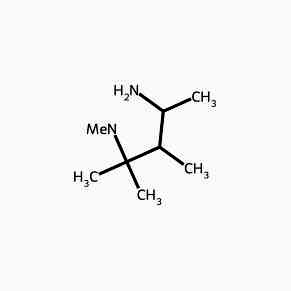 CNC(C)(C)C(C)C(C)N